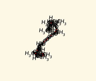 CCCOc1cc(OCCCCN(C)CC(=O)NCCOCCOCCOCCOCCC(=O)NCCN2CCN(c3ccc(-c4cc(NC(C)C)c(C=N)c(C(=O)NCc5c(C)cc(C)[nH]c5=O)c4)cn3)CC2)cc(Oc2cc(NC)c(NC)cc2N[S+]([O-])c2ccc(OC)c(OC)c2)c1